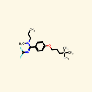 CCCN(C)C(=NC(F)F)c1ccc(OCCC[Si](C)(C)C)cc1